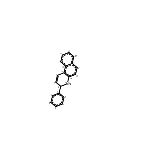 C1=CC(c2ccccc2)Nc2ccc3ccccc3c21